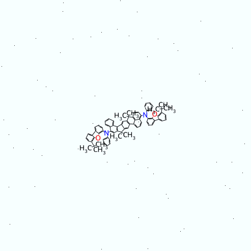 CC(C)(C)c1cccc2c1oc1c(N(c3ccccc3)c3cc4c(c5ccccc35)-c3cc5c(cc3C4(C)C)-c3cccc4c(N(c6ccccc6)c6cccc7c6oc6c(C(C)(C)C)cccc67)ccc(c34)C5(C)C)cccc12